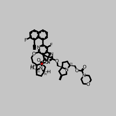 C#Cc1c(F)ccc2cccc(-c3nc4c5c(nc(OC[C@@]67CC[C@@H](COC(=O)N8CCOCC8)N6CC(=C)C7)nc5c3F)N3C[C@H]5CC[C@@H]([C@H]3CCO4)N5C(=O)OC(C)(C)C)c12